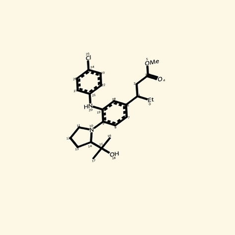 CCC(CC(=O)OC)c1ccc(N2CCCC2C(C)(C)O)c(Nc2ccc(Cl)cc2)c1